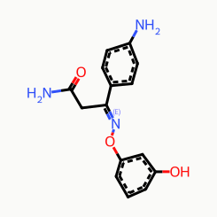 NC(=O)C/C(=N\Oc1cccc(O)c1)c1ccc(N)cc1